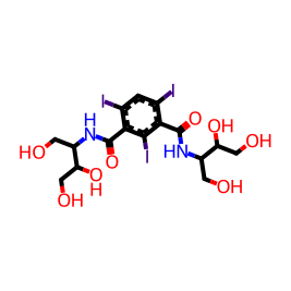 O=C(NC(CO)C(O)CO)c1c(I)cc(I)c(C(=O)NC(CO)C(O)CO)c1I